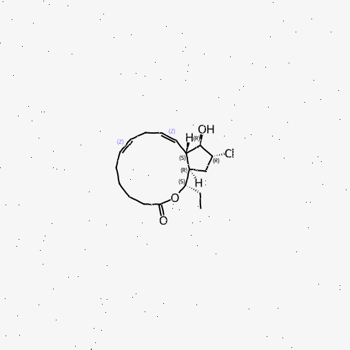 CC[C@@H]1OC(=O)CCCC/C=C\C/C=C\[C@@H]2[C@@H](O)[C@H](Cl)C[C@H]21